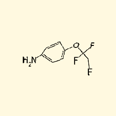 Nc1ccc(OC(F)(F)CF)cc1